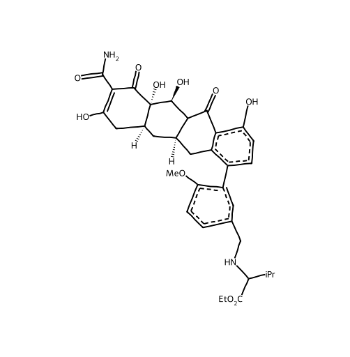 CCOC(=O)C(NCc1ccc(OC)c(-c2ccc(O)c3c2C[C@H]2C[C@H]4CC(O)=C(C(N)=O)C(=O)[C@@]4(O)[C@@H](O)C2C3=O)c1)C(C)C